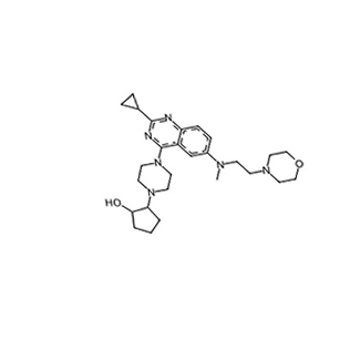 CN(CCN1CCOCC1)c1ccc2nc(C3CC3)nc(N3CCN(C4CCCC4O)CC3)c2c1